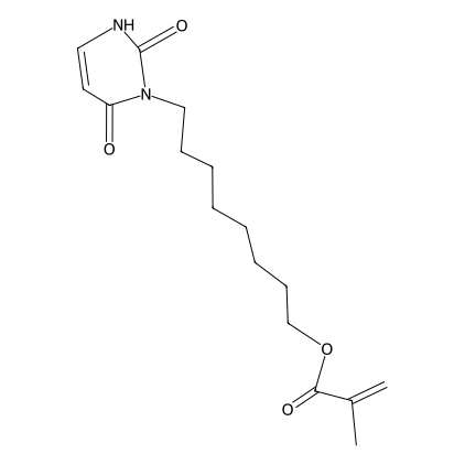 C=C(C)C(=O)OCCCCCCCCn1c(=O)cc[nH]c1=O